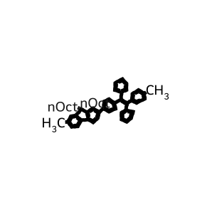 CCCCCCCCC1(CCCCCCCC)c2cc(C)ccc2-c2ccc(-c3ccc(/C(=C(\c4ccccc4)c4ccc(C)cc4)c4ccccc4)cc3)cc21